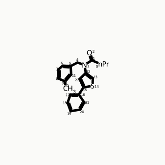 CCCC(=O)N(Cc1cccc(C)c1)c1csc(-c2ccccc2)c1